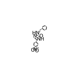 O=c1[nH]c(-c2ccc([N+](=O)[O-])cc2)cnc1NCCc1ccccc1